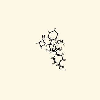 CN(C(C)(C1CCCCC1)C1CCN1)S(=O)(=O)c1ccc(C(F)(F)F)cc1